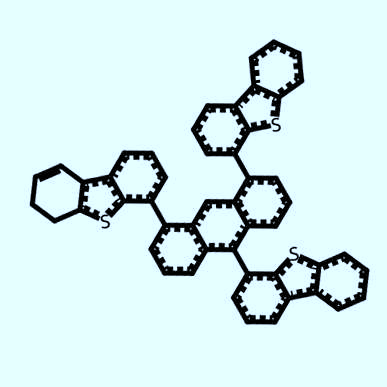 C1=Cc2c(sc3c(-c4cccc5c(-c6cccc7c6sc6ccccc67)c6cccc(-c7cccc8c7sc7ccccc78)c6cc45)cccc23)CC1